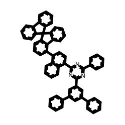 c1ccc(-c2cc(-c3ccccc3)cc(-c3nc(-c4ccccc4)nc(-c4ccc(-c5cccc6c5-c5ccccc5C65c6ccccc6-c6ccccc65)c5ccccc45)n3)c2)cc1